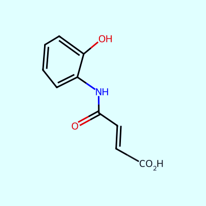 O=C(O)/C=C/C(=O)Nc1ccccc1O